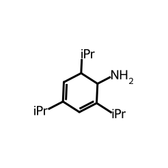 CC(C)C1=CC(C(C)C)C(N)C(C(C)C)=C1